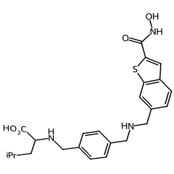 CC(C)CC(NCc1ccc(CNCc2ccc3cc(C(=O)NO)sc3c2)cc1)C(=O)O